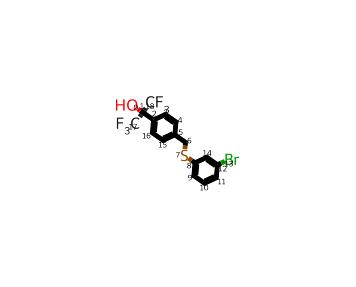 OC(c1ccc(CSc2cccc(Br)c2)cc1)(C(F)(F)F)C(F)(F)F